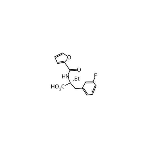 CC[C@@](Cc1cccc(F)c1)(NC(=O)c1ccco1)C(=O)O